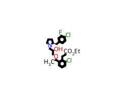 CCOC(=O)CCc1c(Cl)cccc1[C@@H](C)OC[C@H](O)CN1CCC[C@H]1Cc1ccc(Cl)c(F)c1